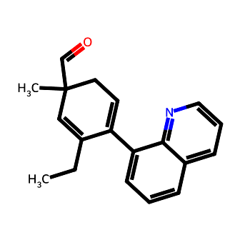 CCC1=CC(C)(C=O)CC=C1c1cccc2cccnc12